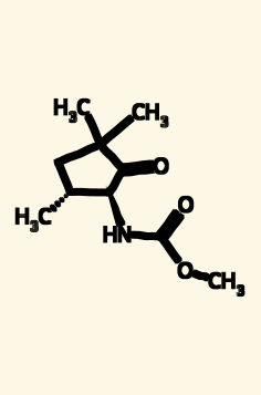 COC(=O)N[C@@H]1C(=O)C(C)(C)C[C@H]1C